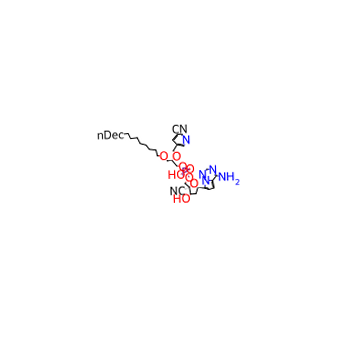 CCCCCCCCCCCCCCCCCCOC[C@H](COP(=O)(O)OC[C@@]1(C#N)O[C@@H](c2ccc3c(N)ncnn23)C[C@@H]1O)OCc1cncc(C#N)c1